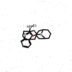 CCNc1nc2ccccc2n1C1CC2CCCC(C1)N2C1CC2CCCC(C2)C1